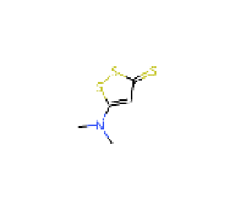 CN(C)c1cc(=S)ss1